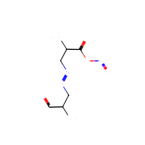 CC([C]=O)CN=NCC(C)C(=O)ON=O